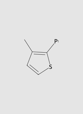 Cc1ccsc1[P]